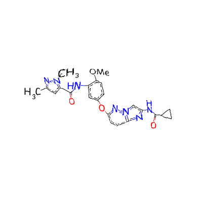 COc1ccc(Oc2ccc3nc(NC(=O)C4CC4)cn3n2)cc1NC(=O)c1cc(C)nn1C